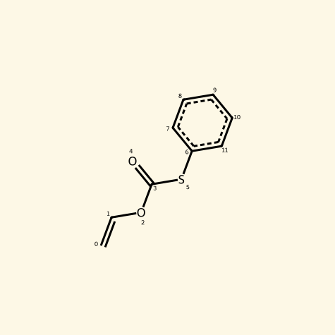 C=COC(=O)Sc1ccccc1